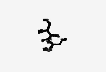 O=C(O)[C@H](C[SeH])[NH+]([S-])C(=O)C(O)CO